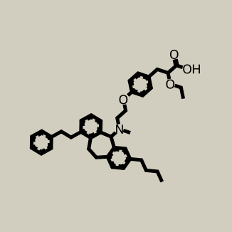 CCCCc1ccc2c(c1)C(N(C)CCOc1ccc(CC(OCC)C(=O)O)cc1)c1cccc(CCc3ccccc3)c1CC2